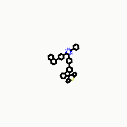 c1ccc(-c2nnc(-c3ccc(-c4cccc5ccccc45)cc3)c(-c3ccc(-c4ccc5c(c4)-c4ccccc4C54c5ccccc5Sc5ccccc54)cc3)n2)cc1